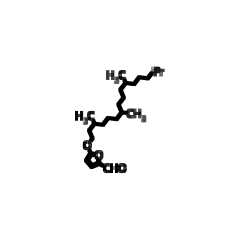 CC(C)CCCC(C)CCCC(C)CCCC(C)CCOc1ccc(C=O)o1